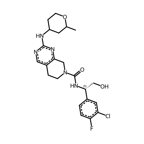 CC1CC(Nc2ncc3c(n2)CN(C(=O)N[C@H](CO)c2ccc(F)c(Cl)c2)CC3)CCO1